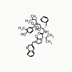 Cc1cc(S(=O)(=O)N(CC(C)C)C[C@H](O)[C@H](Cc2ccccc2)NC(=O)[C@H](C(C)C)N2CCN(Cc3cnc4ccccc4c3)C2=O)ccc1O